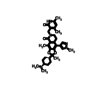 Cc1cc(C)c(CN2CCc3c(c(C)c4c(c3-c3cnn(C)c3)O[C@](C)([C@H]3CC[C@H](N(C)C)CC3)O4)C2=O)c(=O)[nH]1